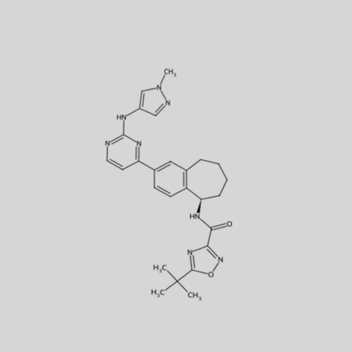 Cn1cc(Nc2nccc(-c3ccc4c(c3)CCCC[C@H]4NC(=O)c3noc(C(C)(C)C)n3)n2)cn1